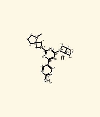 CN1CCCC12CN(c1nc(-c3cnc(N)nc3)cc(N3CC4OC[C@H]43)n1)C2